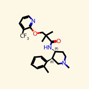 Cc1ccccc1[C@@H]1CN(C)CC[C@H]1NC(=O)C(C)(C)COc1ncccc1C(F)(F)F